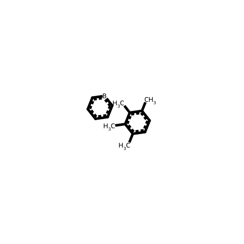 Cc1ccc(C)c(C)c1C.b1ccccc1